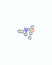 O=P(c1ccccc1)(c1ccc(-c2ccccc2)cc1)c1ccc2nc3c4cc5ccccc5cc4c4ccccc4n3c2c1